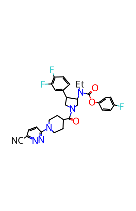 CCN(C(=O)Oc1ccc(F)cc1)C1CN(C(=O)C2CCN(c3ccc(C#N)nn3)CC2)CC1c1ccc(F)c(F)c1